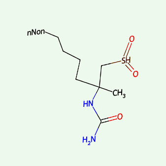 CCCCCCCCCCCCCC(C)(C[SH](=O)=O)NC(N)=O